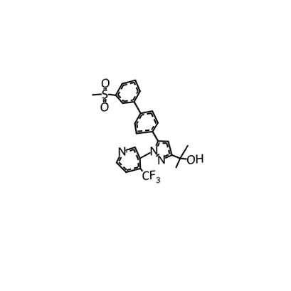 CC(C)(O)c1cc(-c2ccc(-c3cccc(S(C)(=O)=O)c3)cc2)n(-c2cnccc2C(F)(F)F)n1